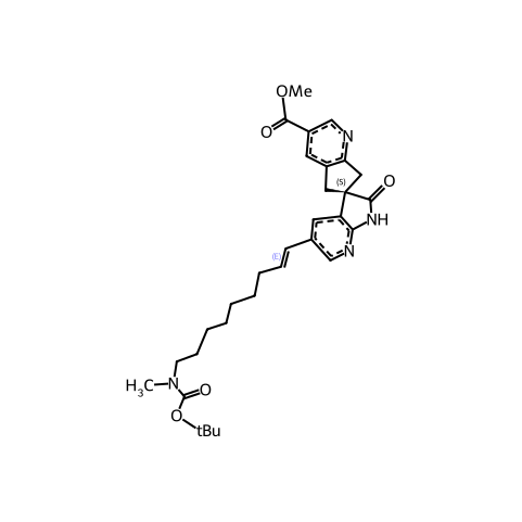 COC(=O)c1cnc2c(c1)C[C@@]1(C2)C(=O)Nc2ncc(/C=C/CCCCCCCN(C)C(=O)OC(C)(C)C)cc21